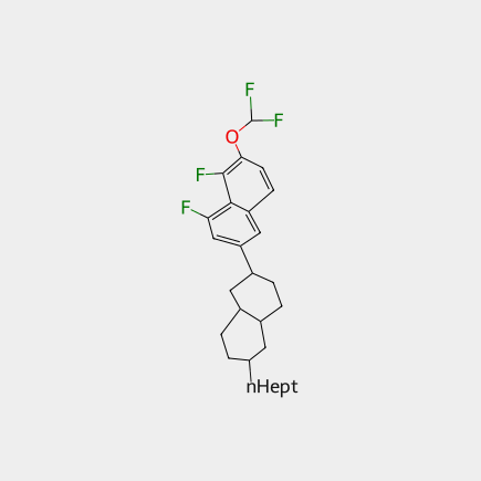 CCCCCCCC1CCC2CC(c3cc(F)c4c(F)c(OC(F)F)ccc4c3)CCC2C1